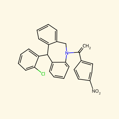 C=C(c1ccc([N+](=O)[O-])cc1)N1Cc2ccccc2C(c2ccccc2Cl)c2ccccc21